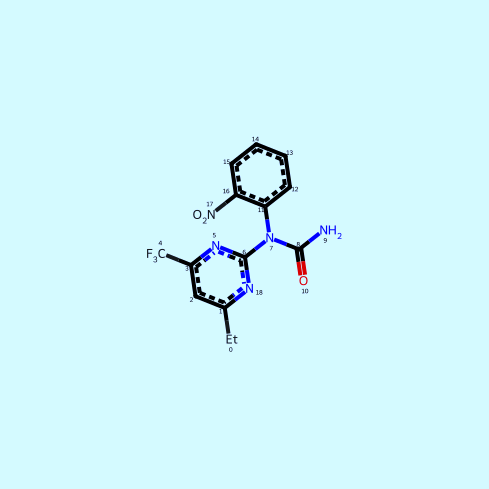 CCc1cc(C(F)(F)F)nc(N(C(N)=O)c2ccccc2[N+](=O)[O-])n1